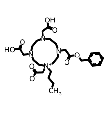 CCCC[N+]1(CC(=O)[O-])CCN(CC(=O)O)CCN(CC(=O)O)CCN(CC(=O)OCc2ccccc2)CC1